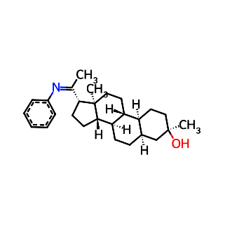 C/C(=N/c1ccccc1)[C@H]1CC[C@H]2[C@@H]3CC[C@@H]4C[C@](C)(O)CC[C@@H]4[C@H]3CC[C@]12C